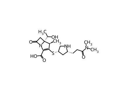 CC(O)[C@@]12CC(=O)N1C(C(=O)O)=C(S[C@@H]1CN[C@H](CCC(=O)N(C)C)C1)[C@@H]2C